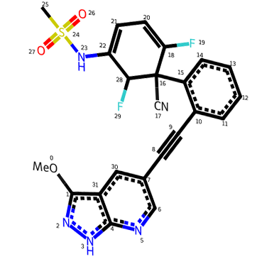 COc1n[nH]c2ncc(C#Cc3ccccc3C3(C#N)C(F)=CC=C(NS(C)(=O)=O)C3F)cc12